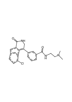 CN(C)CCNC(=O)c1cccc(C2=c3c(cc4ccc(Cl)c3c4)C(=O)NC2)c1